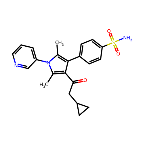 Cc1c(C(=O)CC2CC2)c(-c2ccc(S(N)(=O)=O)cc2)c(C)n1-c1cccnc1